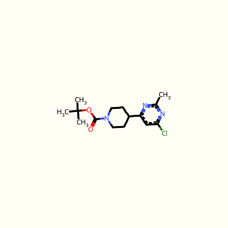 Cc1nc(Cl)cc(C2CCN(C(=O)OC(C)(C)C)CC2)n1